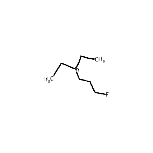 C[CH2][In]([CH2]C)[CH2]CCF